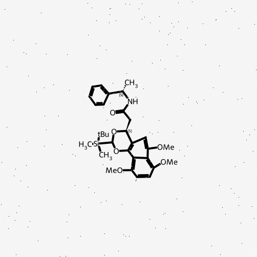 COc1ccc(OC)c2c3c(cc(OC)c12)[C@H](CC(=O)N[C@@H](C)c1ccccc1)OC([Si](C)(C)C(C)(C)C)O3